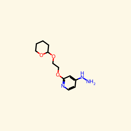 NNc1ccnc(OCCOC2CCCCO2)c1